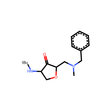 CN(Cc1ccccc1)CC1OCC(NC(C)(C)C)C1=O